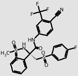 CS(=O)(=O)N[C@@](CS(=O)(=O)c1ccc(F)cc1)(C(=O)Nc1ccc(C#N)c(C(F)(F)F)c1)c1ccccc1